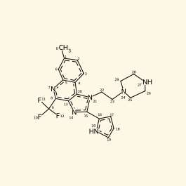 Cc1ccc2c(c1)nc(C(F)(F)F)c1nc(-c3ccc[nH]3)n(CCN3CCNCC3)c12